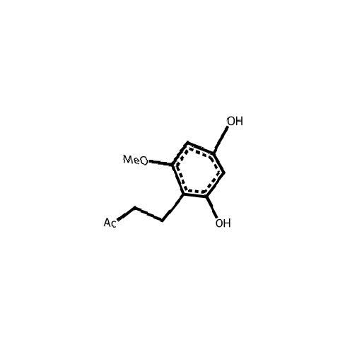 COc1cc(O)cc(O)c1CCC(C)=O